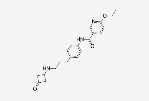 CCOc1ccc(C(=O)Nc2ccc(CCCNC3CC(=O)C3)cc2)cn1